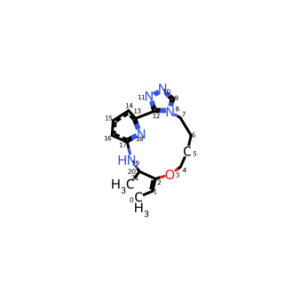 C/C=C1/OCCCCn2cnnc2-c2cccc(n2)NC1C